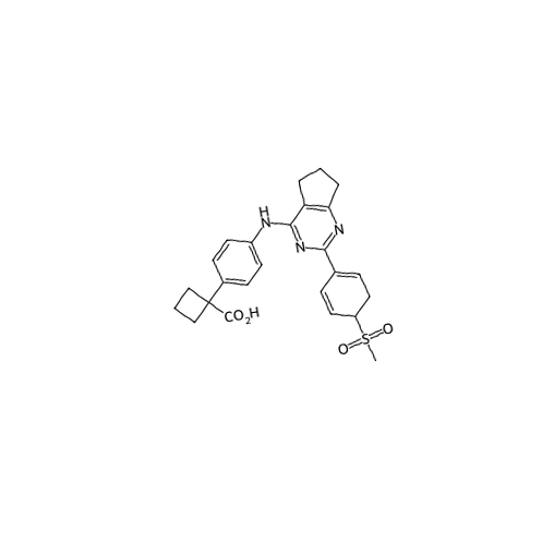 CS(=O)(=O)C1C=CC(c2nc3c(c(Nc4ccc(C5(C(=O)O)CCC5)cc4)n2)CCC3)=CC1